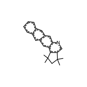 CC1(C)CC(C)(C)c2c1cnc1cc3cc4ccccc4cc3cc21